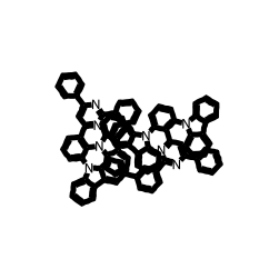 c1ccc(-c2cc(-c3cccc(-n4c5ccccc5c5cc(-c6cccc(-c7nc(-c8ccccc8)cc(-c8c(-n9c%10ccccc%10c%10ccccc%109)cccc8-n8c9ccccc9c9ccccc98)n7)c6)ccc54)c3-n3c4ccccc4c4ccccc43)nc(-c3ccccc3)n2)cc1